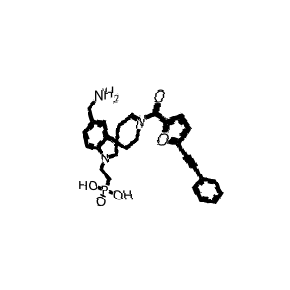 NCc1ccc2c(c1)C1(CCN(C(=O)c3ccc(C#Cc4ccccc4)o3)CC1)CN2CCP(=O)(O)O